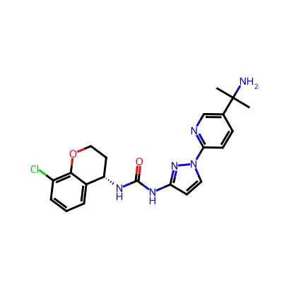 CC(C)(N)c1ccc(-n2ccc(NC(=O)N[C@H]3CCOc4c(Cl)cccc43)n2)nc1